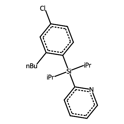 CCCCc1cc(Cl)ccc1[Si](c1ccccn1)(C(C)C)C(C)C